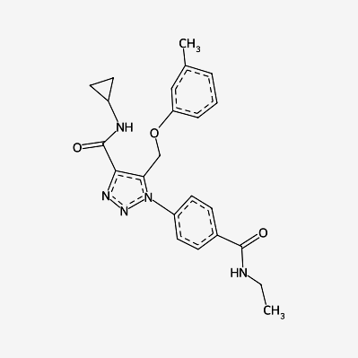 CCNC(=O)c1ccc(-n2nnc(C(=O)NC3CC3)c2COc2cccc(C)c2)cc1